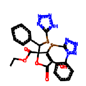 CCOC(=O)C1(C(Sc2nnn[nH]2)c2ccccc2)OC(=O)C(O)=C1Sc1nnnn1-c1ccccc1